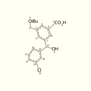 CC(C)COCc1cc(C(=O)O)cc(C(O)c2cccc(Cl)c2)c1